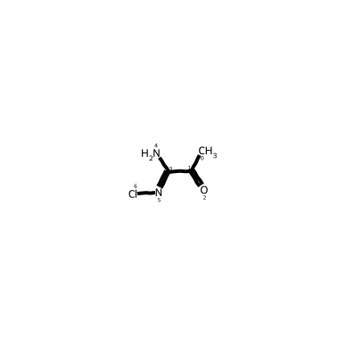 CC(=O)/C(N)=N/Cl